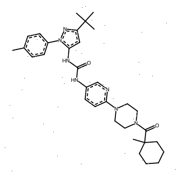 Cc1ccc(-n2nc(C(C)(C)C)cc2NC(=O)Nc2ccc(N3CCN(C(=O)C4(C)CCCCC4)CC3)nc2)cc1